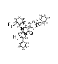 Cc1c(N2CCC(O)(Cc3ccccc3)CC2)c(=O)n(CC(N)c2ccccc2)c(=O)n1Cc1c(F)cccc1C(F)(F)F